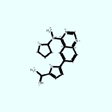 CC(O)c1ccc(-c2ccc3ncnc(N(C)C4CCCO4)c3c2)o1